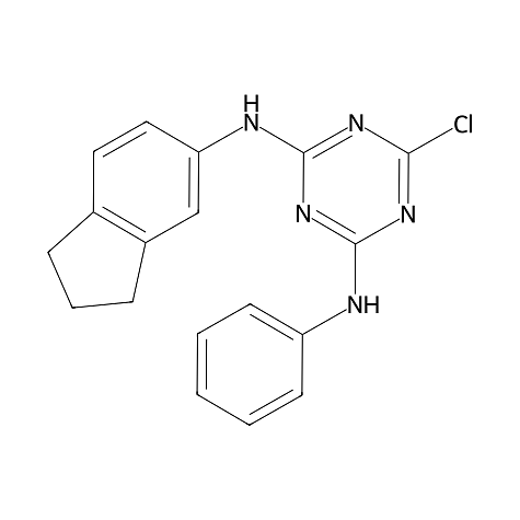 Clc1nc(Nc2ccccc2)nc(Nc2ccc3c(c2)CCC3)n1